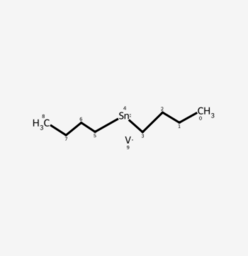 CCC[CH2][Sn][CH2]CCC.[V]